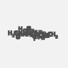 COCC1(F)CCN(c2ccc(N3C[C@H](CNC(C)=O)OC3=O)cc2F)CC1